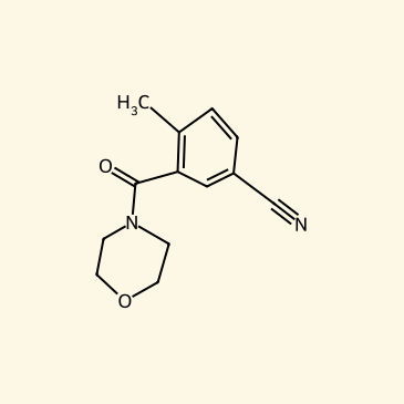 Cc1ccc(C#N)cc1C(=O)N1CCOCC1